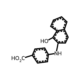 O=C(O)c1ccc(Nc2ccc3ccccc3c2O)cc1